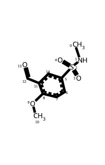 CNS(=O)(=O)c1ccc(OC)c(C=O)c1